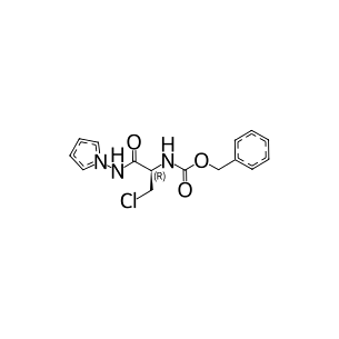 O=C(N[C@@H](CCl)C(=O)Nn1cccc1)OCc1ccccc1